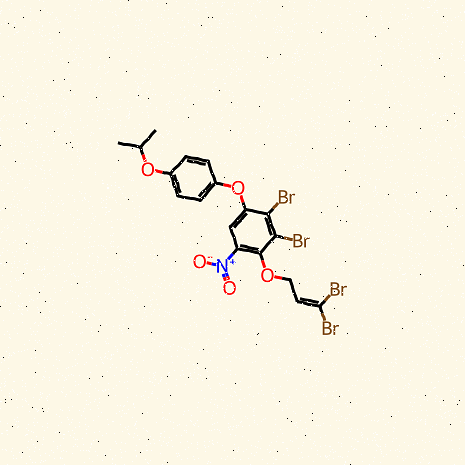 CC(C)Oc1ccc(Oc2cc([N+](=O)[O-])c(OCC=C(Br)Br)c(Br)c2Br)cc1